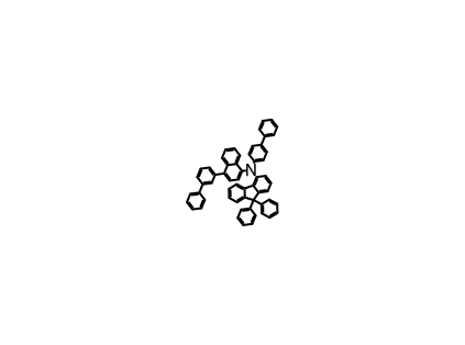 c1ccc(-c2ccc(N(c3cccc4c3-c3ccccc3C4(c3ccccc3)c3ccccc3)c3ccc(-c4cccc(-c5ccccc5)c4)c4ccccc34)cc2)cc1